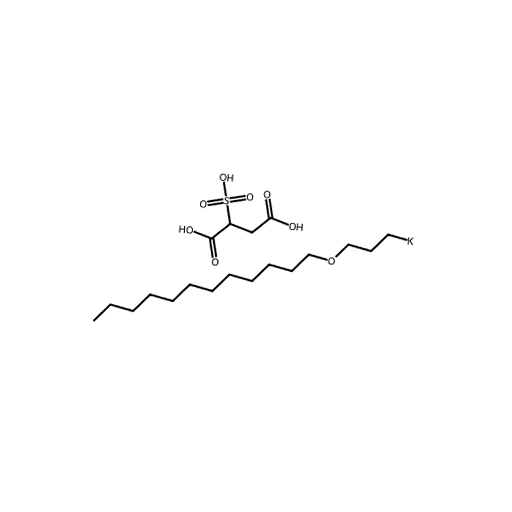 CCCCCCCCCCCCOCC[CH2][K].O=C(O)CC(C(=O)O)S(=O)(=O)O